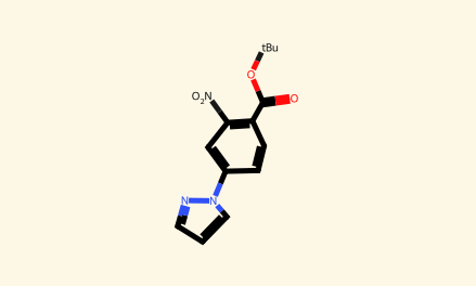 CC(C)(C)OC(=O)c1ccc(-n2cccn2)cc1[N+](=O)[O-]